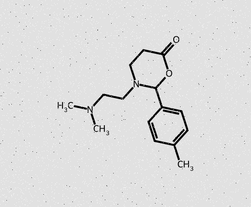 Cc1ccc(C2OC(=O)CCN2CCN(C)C)cc1